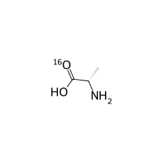 C[C@H](N)C(O)=[16O]